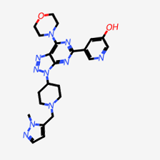 Cn1nccc1CN1CCC(n2nnc3c(N4CCOCC4)nc(-c4cncc(O)c4)nc32)CC1